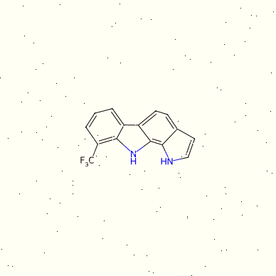 FC(F)(F)c1cccc2c1[nH]c1c2ccc2cc[nH]c21